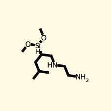 CO[SiH](OC)C(CNCCN)CC(C)C